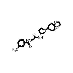 O=C(CNC(=O)c1cccc(C(F)(F)F)c1)N[C@@H]1CCN(C2CCC3(CC2)OCCO3)C1